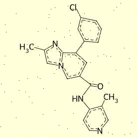 Cc1cn2cc(C(=O)Nc3ccncc3C)cc(-c3cccc(Cl)c3)c2n1